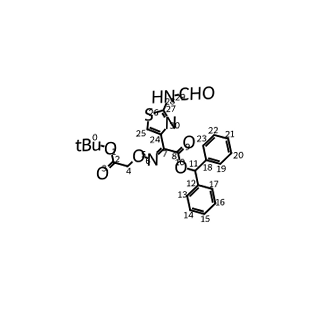 CC(C)(C)OC(=O)CON=C(C(=O)OC(c1ccccc1)c1ccccc1)c1csc(NC=O)n1